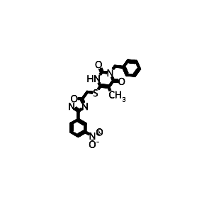 Cc1c(SCc2nc(-c3cccc([N+](=O)[O-])c3)no2)[nH]c(=O)n(Cc2ccccc2)c1=O